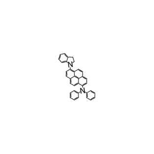 c1ccc(N(c2ccccc2)c2ccc3ccc4c(N5CCc6ccccc65)ccc5ccc2c3c54)cc1